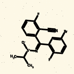 CC(C)[S+]([O-])N=C(c1cc(Br)ccc1F)c1cccc(F)c1C#N